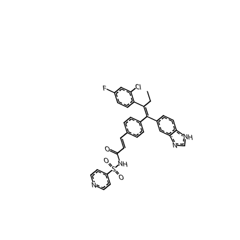 CC/C(=C(/c1ccc(/C=C/C(=O)NS(=O)(=O)c2ccncc2)cc1)c1ccc2[nH]cnc2c1)c1ccc(F)cc1Cl